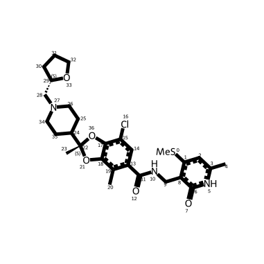 CSc1cc(C)[nH]c(=O)c1CNC(=O)c1cc(Cl)c2c(c1C)O[C@](C)(C1CCN(C[C@@H]3CCCO3)CC1)O2